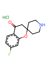 Cl.O=C1CC2(CCNCC2)Oc2cc(F)ccc21